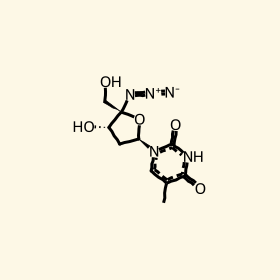 Cc1cn([C@H]2C[C@H](O)[C@](CO)(N=[N+]=[N-])O2)c(=O)[nH]c1=O